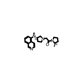 C[C@@H]1CCCN1C(=O)CN1CC[C@H](N(C)c2cccc3cnccc23)C1